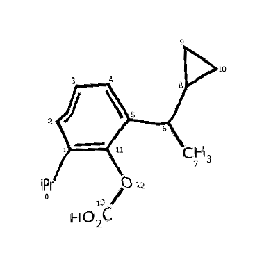 CC(C)c1cccc(C(C)C2CC2)c1OC(=O)O